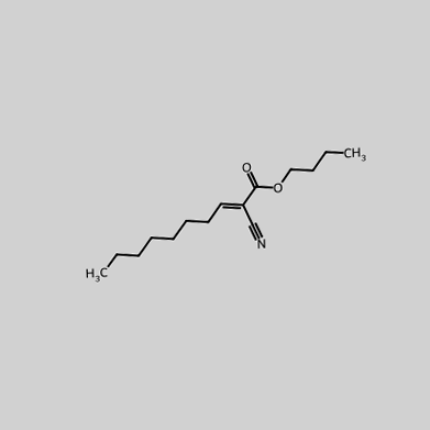 CCCCCCC/C=C(\C#N)C(=O)OCCCC